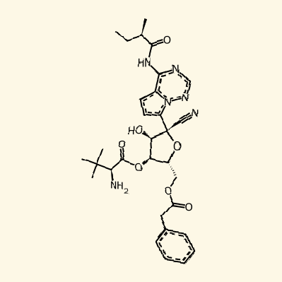 CC[C@@H](C)C(=O)Nc1ncnn2c([C@]3(C#N)O[C@H](COC(=O)Cc4ccccc4)[C@@H](OC(=O)[C@@H](N)C(C)(C)C)[C@H]3O)ccc12